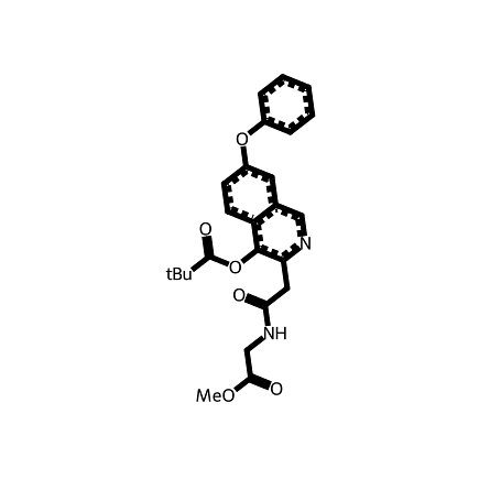 COC(=O)CNC(=O)Cc1ncc2cc(Oc3ccccc3)ccc2c1OC(=O)C(C)(C)C